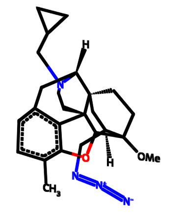 COC12CC[C@@]3(C[C@@H]1CN=[N+]=[N-])[C@H]1Cc4ccc(C)c5c4[C@@]3(CCN1CC1CC1)C2O5